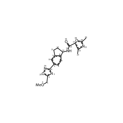 COCc1nc(-c2ccc3c(c2)CCC3NC(=O)c2oc(C)nc2C)no1